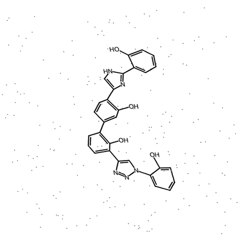 Oc1cc(-c2cccc(-c3cn(-c4ccccc4O)nn3)c2O)ccc1-c1c[nH]c(-c2ccccc2O)n1